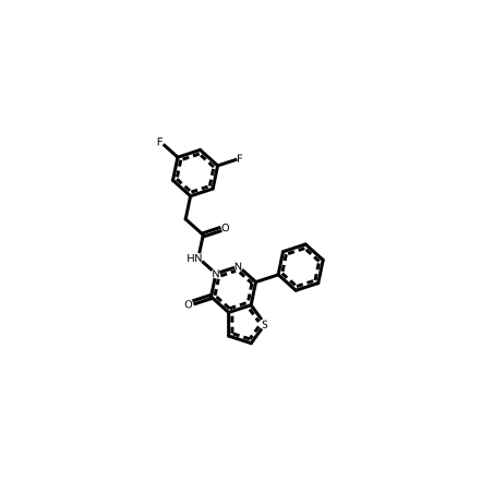 O=C(Cc1cc(F)cc(F)c1)Nn1nc(-c2ccccc2)c2sccc2c1=O